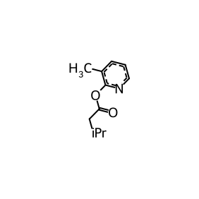 Cc1cccnc1OC(=O)CC(C)C